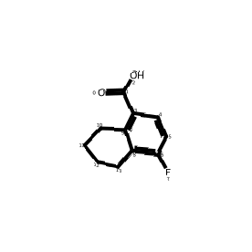 O=C(O)c1ccc(F)c2c1CCCC2